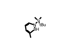 CC1=CC=CN([Si](C)(C)C(C)(C)C)B1